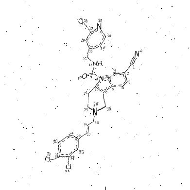 N#Cc1ccc2c3c(n(C(=O)NCc4ccnc(Cl)c4)c2c1)CCN(C/C=C/c1ccc(Cl)c(Cl)c1)C3